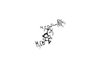 COC(=O)C1(c2nnc3c(C(C)(C)OCOCC[Si](C)(C)C)cccn23)CC1